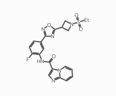 CCS(=O)(=O)N1CC(c2nc(-c3ccc(F)c(NC(=O)c4cnc5ccccn45)c3)no2)C1